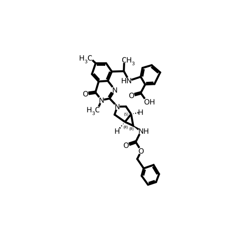 Cc1cc(C(C)Nc2ccccc2C(=O)O)c2nc(N3C[C@@H]4[C@H](C3)[C@@H]4NC(=O)OCc3ccccc3)n(C)c(=O)c2c1